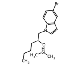 CCCCC(Cn1ccc2cc(Br)ccc21)O[SiH](C)C